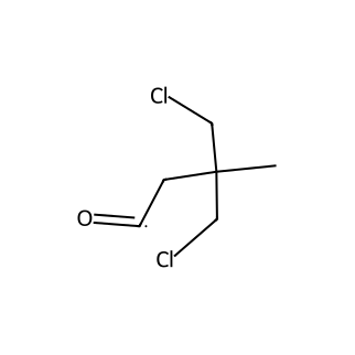 CC(CCl)(CCl)C[C]=O